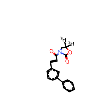 [2H]C1([2H])CN(C(=O)C=Cc2cccc(-c3ccccc3)c2)C(=O)O1